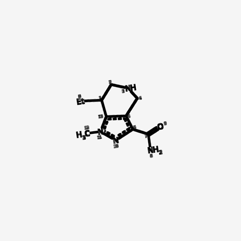 CCC1CNCc2c(C(N)=O)nn(C)c21